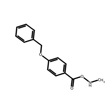 CNOC(=O)c1ccc(OCc2ccccc2)cc1